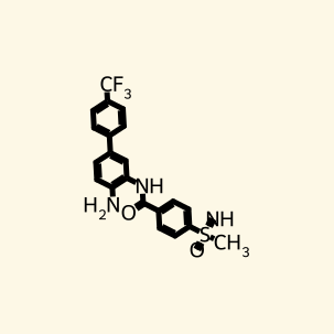 CS(=N)(=O)c1ccc(C(=O)Nc2cc(-c3ccc(C(F)(F)F)cc3)ccc2N)cc1